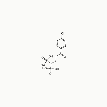 O=C(CCC(P(=O)(O)O)P(=O)(O)O)c1ccc(Cl)cc1